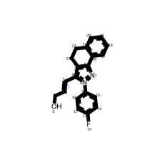 OC/C=C/c1c2c(nn1-c1ccc(F)cc1)-c1ccccc1CC2